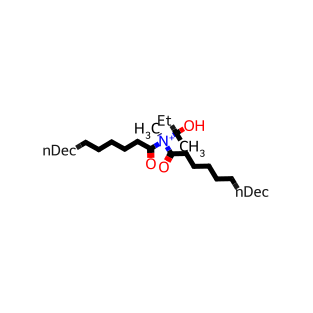 CCCCCCCCCCCCCCCC(=O)[N+](C)(C(=O)CCCCCCCCCCCCCCC)C(C)(O)CC